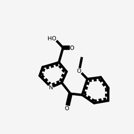 COc1ccccc1C(=O)c1cc(C(=O)O)ccn1